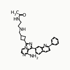 CC(=O)NCCNCC1CC(c2nc(-c3ccc4ccc(-c5ccccc5)nc4c3)c3c(N)nccn23)C1